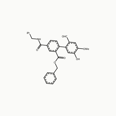 COc1cc(C=O)c(-c2ccc(C(=O)NCC(C)C)cc2C(=O)OCc2ccccc2)cc1O